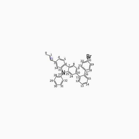 C/C=C/c1ccc2c3ccc(-c4ccccc4-c4ccc(Br)cc4)cc3n(-c3ccccc3)c2c1